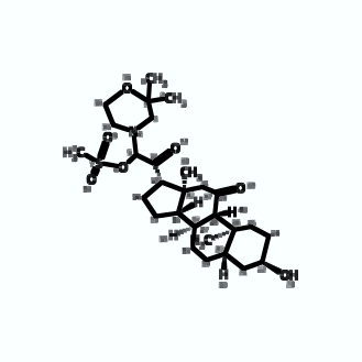 CC1(C)CN(C(OS(C)(=O)=O)C(=O)[C@H]2CC[C@H]3[C@@H]4CC[C@H]5C[C@H](O)CC[C@]5(C)[C@H]4C(=O)C[C@]23C)CCO1